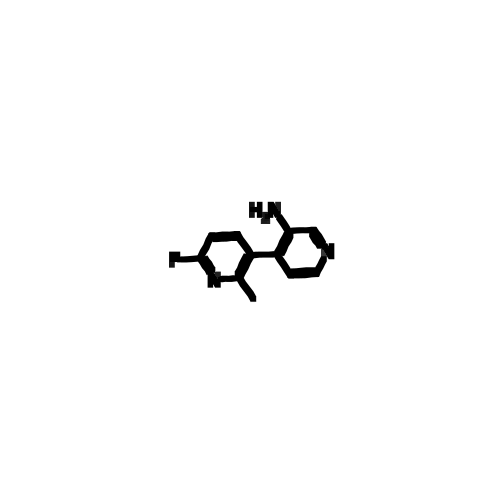 Cc1nc(F)ccc1-c1ccncc1N